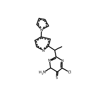 CC(C1=NC(N)C(=S)C(Cl)=N1)c1cc(-n2cccc2)ccn1